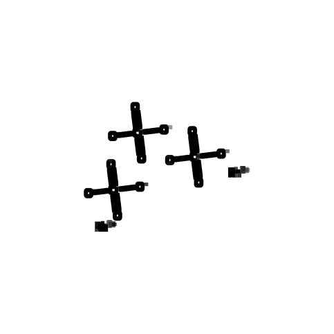 [O]=[Cr](=[O])([O-])[O-].[O]=[Cr](=[O])([O-])[O-].[O]=[Cr](=[O])([O-])[O-].[Rh+3].[Rh+3]